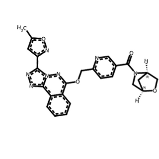 Cc1cc(-c2nnc3c4ccccc4c(OCc4ccc(C(=O)N5C[C@H]6C[C@@H]5CO6)cn4)nn23)no1